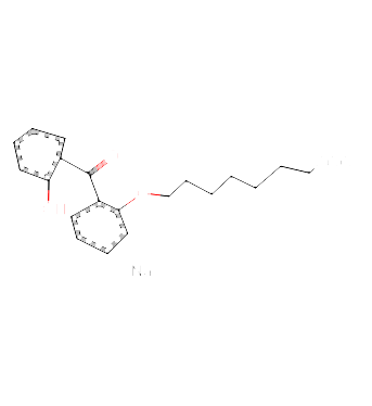 O=C([O-])CCCCCCCOc1ccccc1C(=O)c1ccccc1O.[Na+]